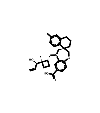 C=C[C@@H](O)[C@]1(C)CC[C@H]1CN1C[C@@]2(CCCc3cc(Cl)ccc32)COc2ccc(C(=O)O)cc21